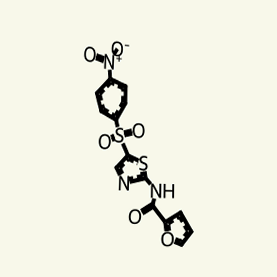 O=C(Nc1ncc(S(=O)(=O)c2ccc([N+](=O)[O-])cc2)s1)c1ccco1